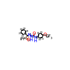 CC(C)[S+]([O-])C(=NNC(=O)Nc1ccc(OC(F)(F)F)cc1)c1ccccc1